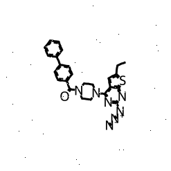 CCc1cc2c(N3CCN(C(=O)c4ccc(-c5ccccc5)cc4)CC3)nc(N=[N+]=[N-])nc2s1